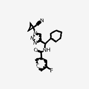 N#CC1(n2cc(C(NC(=O)c3cccc(F)c3)C3CCCCC3)nn2)CC1